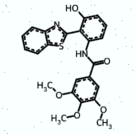 COc1cc(C(=O)Nc2cccc(O)c2-c2nc3ccccc3s2)cc(OC)c1OC